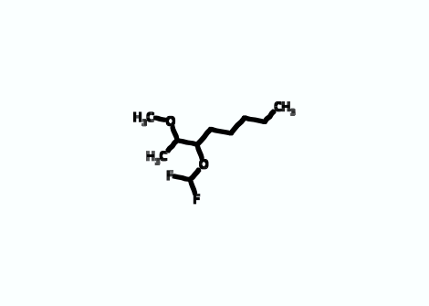 CCCCCC(OC(F)F)C(C)OC